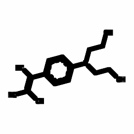 N#CC(C#N)=C(C#N)c1ccc(N(CCO)CCO)cc1